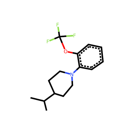 CC(C)C1CCN(c2ccccc2OC(F)(F)F)CC1